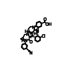 N#Cc1cccc(NC(=O)[C@H]2[C@@H](c3cccc(Cl)c3F)[C@@H]3c4nc5cc(C(=O)O)ccc5n4CC[C@@H]3N2CC2CC2)c1